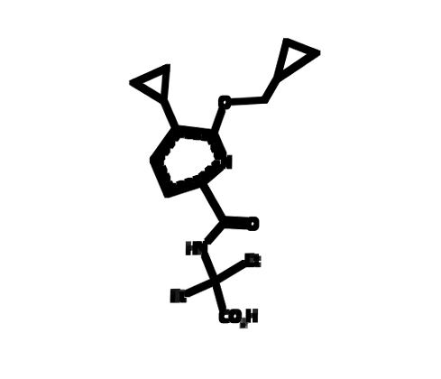 CCC(CC)(NC(=O)c1ccc(C2CC2)c(OCC2CC2)n1)C(=O)O